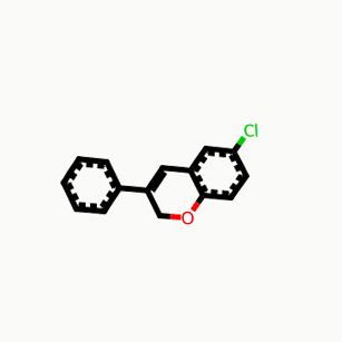 Clc1ccc2c(c1)C=C(c1ccccc1)CO2